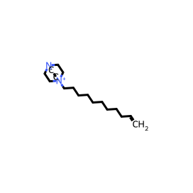 C=CCCCCCCCCC[N+]12CCN(CC1)CC2